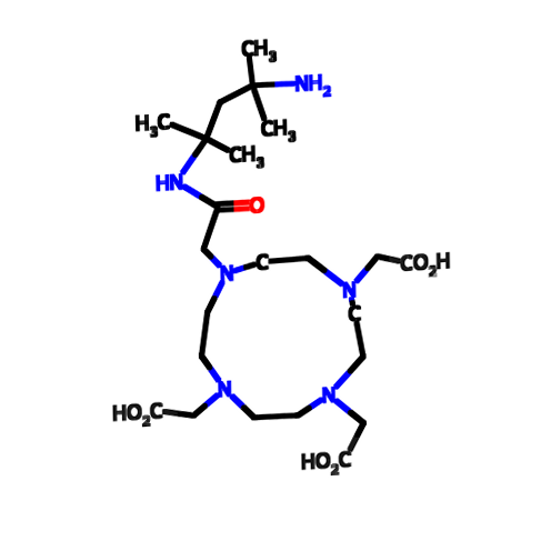 CC(C)(N)CC(C)(C)NC(=O)CN1CCN(CC(=O)O)CCN(CC(=O)O)CCN(CC(=O)O)CC1